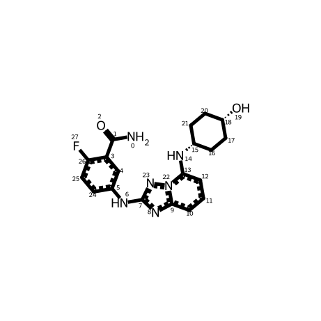 NC(=O)c1cc(Nc2nc3cccc(N[C@H]4CC[C@@H](O)CC4)n3n2)ccc1F